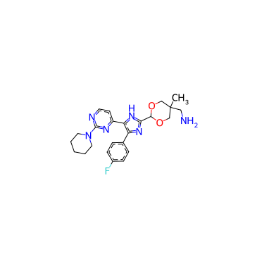 CC1(CN)COC(c2nc(-c3ccc(F)cc3)c(-c3ccnc(N4CCCCC4)n3)[nH]2)OC1